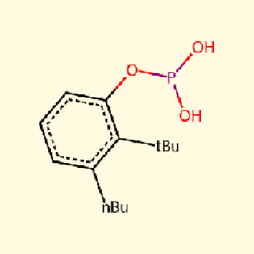 CCCCc1cccc(OP(O)O)c1C(C)(C)C